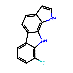 Fc1cccc2c1[nH]c1c2ccc2cc[nH]c21